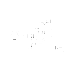 NCCCSC[C@H](NC(CCc1ccccc1)C(=O)O)C(=O)N1CCC[C@H]1C(=O)O